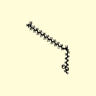 CCOC(=O)CCCCCCCC1CC1CCCCCCCCCCCCCCCCCCCN(C)C